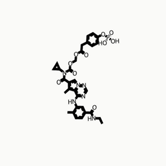 CCNC(=O)c1ccc(C)c(Nc2ncnn3cc(C(=O)N(C(=O)OCOC(=O)Cc4ccc(OP(=O)(O)O)cc4)C4CC4)c(C)c23)c1